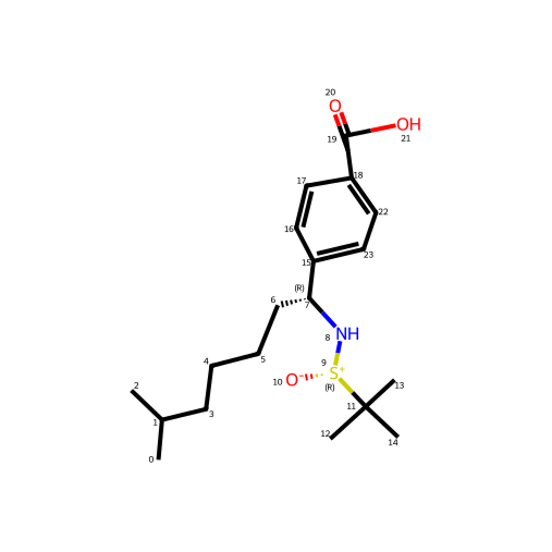 CC(C)CCCC[C@@H](N[S@@+]([O-])C(C)(C)C)c1ccc(C(=O)O)cc1